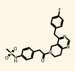 CS(=O)(=O)Nc1ccc(CC(=O)N2CCc3ncnc(Cc4ccc(F)cc4)c3C2)cc1